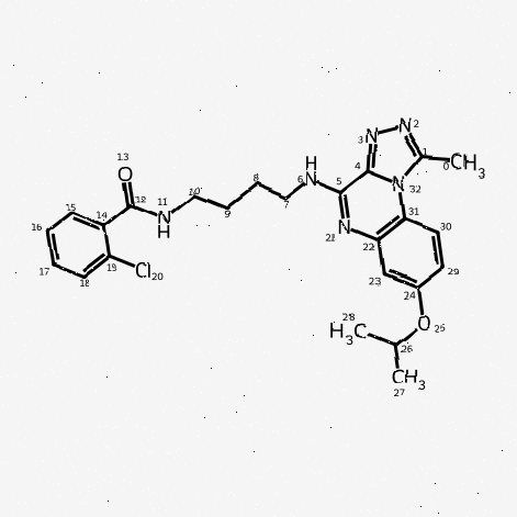 Cc1nnc2c(NCCCCNC(=O)c3ccccc3Cl)nc3cc(OC(C)C)ccc3n12